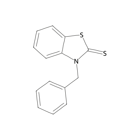 S=c1sc2ccccc2n1Cc1ccccc1